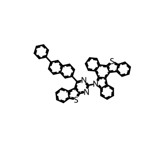 c1ccc(-c2ccc3cc(-c4nc(-n5c6ccccc6c6c7c8ccccc8sc7c7ccccc7c65)nc5sc6ccccc6c45)ccc3c2)cc1